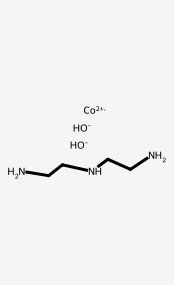 NCCNCCN.[Co+2].[OH-].[OH-]